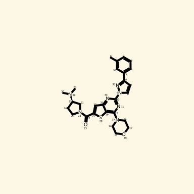 Cc1cccc(-c2ccn(-c3nc(N4CCOCC4)c4sc(C(=O)N5CC[C@@H](N(C)C)C5)cc4n3)n2)c1